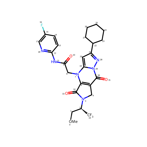 COC[C@@H](N1Cc2c(n(CC(=O)Nc3ccc(F)cn3)c3cc(C4CCCCC4)nn3c2=O)C1=O)C(F)(F)F